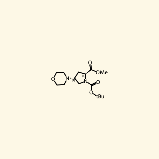 COC(=O)[C@@H]1C[C@@H](N2CCOCC2)CN1C(=O)OC(C)(C)C